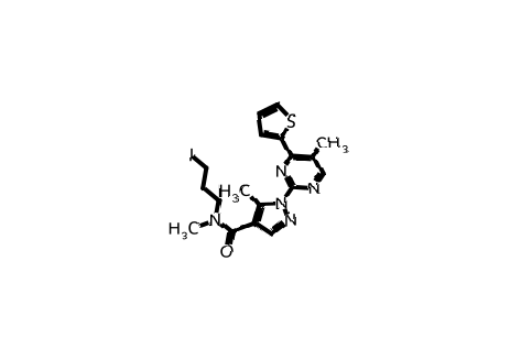 Cc1cnc(-n2ncc(C(=O)N(C)CCCI)c2C)nc1-c1cccs1